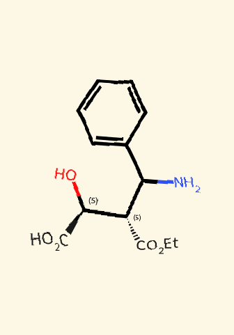 CCOC(=O)[C@@H](C(N)c1ccccc1)[C@H](O)C(=O)O